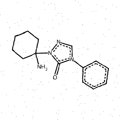 NC1(n2ncn(-c3ccccc3)c2=O)CCCCC1